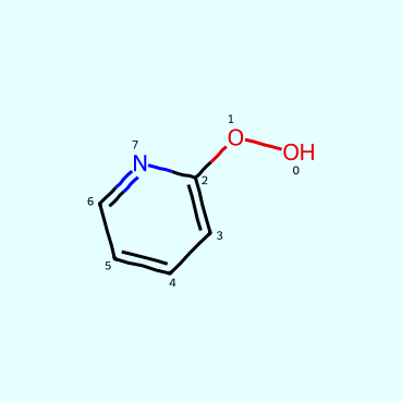 OOc1ccccn1